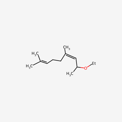 CCOC(C)C=C(C)CCC=C(C)C